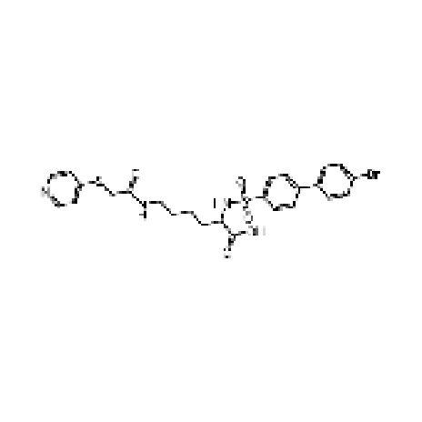 O=C(CSc1ccncc1)NCCCCC(NS(=O)(=O)c1ccc(-c2ccc(Br)cc2)cc1)C(=O)O